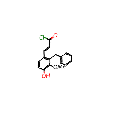 COc1c(O)ccc(C=CC(=O)Cl)c1Cc1ccccc1